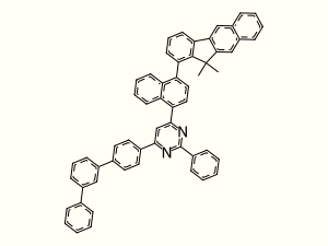 CC1(C)c2cc3ccccc3cc2-c2cccc(-c3ccc(-c4cc(-c5ccc(-c6cccc(-c7ccccc7)c6)cc5)nc(-c5ccccc5)n4)c4ccccc34)c21